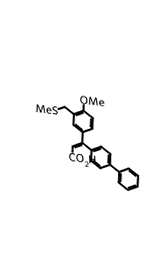 COc1ccc(C(=CC(=O)O)c2ccc(-c3ccccc3)cc2)cc1CSC